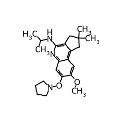 COc1cc2c3c(c(NC(C)C)nc2cc1ON1CCCC1)CC(C)(C)C3